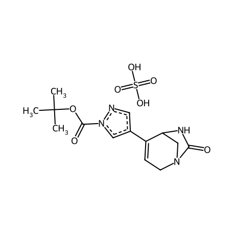 CC(C)(C)OC(=O)n1cc(C2=CCN3CC2NC3=O)cn1.O=S(=O)(O)O